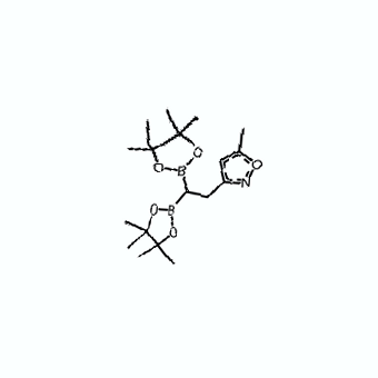 Cc1cc(CC(B2OC(C)(C)C(C)(C)O2)B2OC(C)(C)C(C)(C)O2)no1